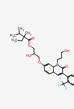 CCC(C)(C(=O)OCC(O)COC1=CC2C(C=C1)C=C(c1ccccc1C(F)(F)F)C(=O)N2CCCO)C(C)C